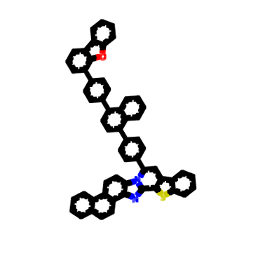 c1ccc2c(c1)ccc1c2ccc2c1nc1c3sc4ccccc4c3cc(-c3ccc(-c4ccc(-c5ccc(-c6cccc7c6oc6ccccc67)cc5)c5ccccc45)cc3)n21